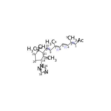 CC(=O)/C=C(C)/C=C/C=C(C)/C=C/C1=C(C)C(n2cncn2)CCC1(C)C